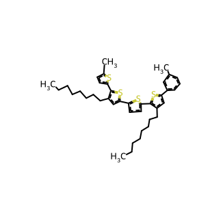 CCCCCCCCc1cc(-c2cccc(C)c2)sc1-c1ccc(-c2cc(CCCCCCCC)c(-c3ccc(C)s3)s2)s1